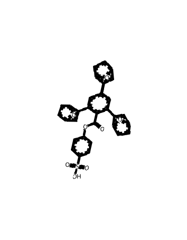 O=C(Oc1ccc(S(=O)(=O)O)cc1)c1c(-c2cc3ccc2o3)cc(-c2cc3ccc2o3)cc1-c1cc2ccc1o2